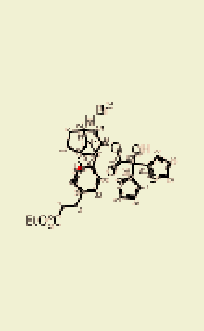 CCOC(=O)CCc1ccc(C[N+]2(C)[C@@H]3CC[C@H]2C[C@H](OC(=O)C(O)(c2cccs2)c2cccs2)C3)cc1.[Br-]